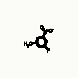 Cc1[c]c([N+](=O)[O-])cc(F)c1